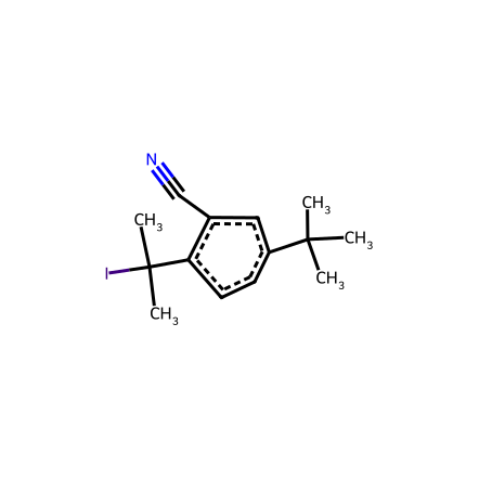 CC(C)(C)c1ccc(C(C)(C)I)c(C#N)c1